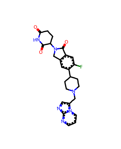 O=C1CCC(N2Cc3cc(C4CCN(Cc5cnc6ncccn56)CC4)c(F)cc3C2=O)C(=O)N1